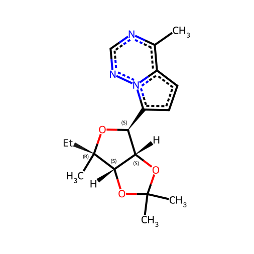 CC[C@@]1(C)O[C@@H](c2ccc3c(C)ncnn23)[C@@H]2OC(C)(C)O[C@@H]21